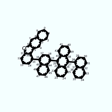 c1ccc2cc3c(cc2c1)oc1cccc(-c2ccc(-c4c5ccccc5c(-c5cccc6ccccc56)c5ccccc45)c4ccccc24)c13